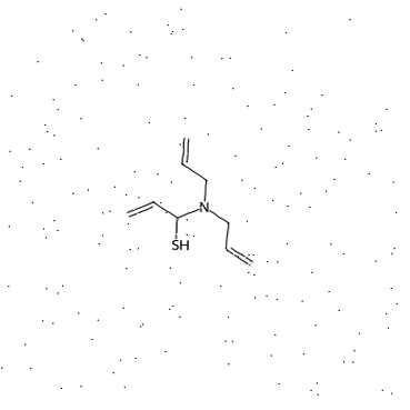 C=CCN(CC=C)C(S)C=C